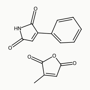 CC1=CC(=O)OC1=O.O=C1C=C(c2ccccc2)C(=O)N1